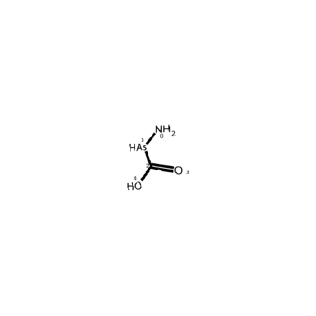 N[AsH]C(=O)O